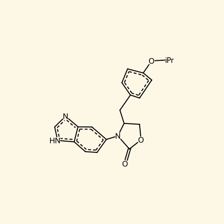 CC(C)Oc1ccc(CC2COC(=O)N2c2ccc3[nH]cnc3c2)cc1